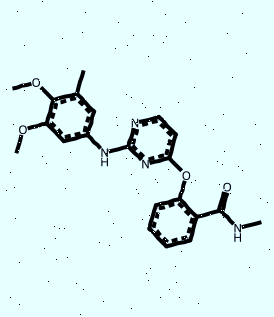 CNC(=O)c1ccccc1Oc1ccnc(Nc2cc(C)c(OC)c(OC)c2)n1